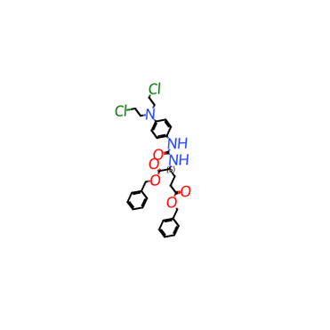 O=C(Nc1ccc(N(CCCl)CCCl)cc1)N[C@@H](CCC(=O)OCc1ccccc1)C(=O)OCc1ccccc1